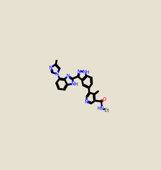 CCNC(=O)c1cncc(-c2ccc3[nH]nc(-c4nc5c(-n6cnc(C)c6)cccc5[nH]4)c3c2)c1C